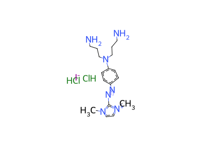 Cl.Cl.Cn1cc[n+](C)c1/N=N/c1ccc(N(CCCN)CCCN)cc1.[I-]